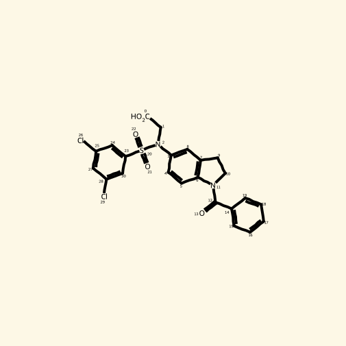 O=C(O)CN(c1ccc2c(c1)CCN2C(=O)c1ccccc1)S(=O)(=O)c1cc(Cl)cc(Cl)c1